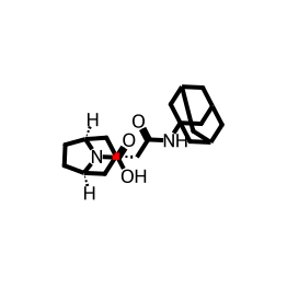 O=C(C[C@@H]1C[C@H]2CC[C@@H](C1)N2C(=O)O)NC12CC3CC(CC(C3)C1)C2